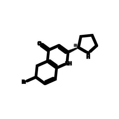 O=c1cc([C@@H]2CCCN2)[nH]c2c1CC(Br)C=C2